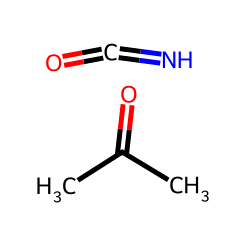 CC(C)=O.N=C=O